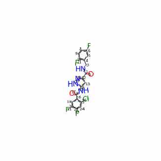 O=C(NCc1cc(F)ccc1F)c1cc(NC(=O)c2cc(F)c(F)cc2Cl)[nH]n1